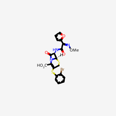 CO/N=C(\C(=O)N[C@@H]1C(=O)N2C(C(=O)O)=C(Sc3ccccc3Br)CS[C@H]12)c1ccco1